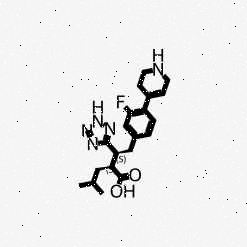 CC(C)C[C@H](C(=O)O)[C@H](Cc1ccc(C2=CCNCC2)c(F)c1)c1nn[nH]n1